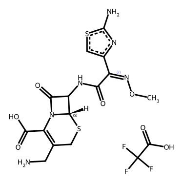 CO/N=C(\C(=O)NC1C(=O)N2C(C(=O)O)=C(CN)CS[C@@H]12)c1csc(N)n1.O=C(O)C(F)(F)F